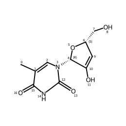 Cc1cn([C@@H]2O[C@H](CO)C=C2O)c(=O)[nH]c1=O